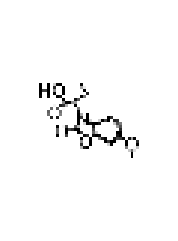 CCC(C(=O)O)n1c(=O)oc2cc(OC)ccc21